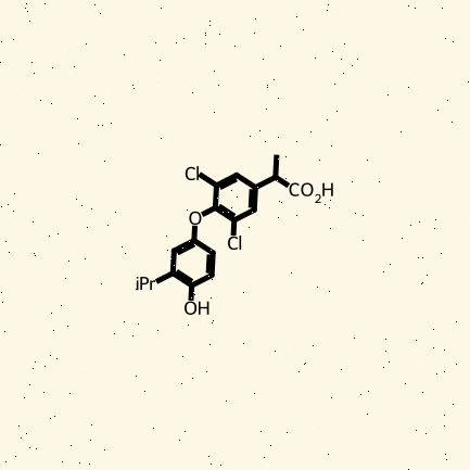 CC(C)c1cc(Oc2c(Cl)cc(C(C)C(=O)O)cc2Cl)ccc1O